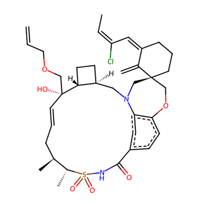 C=CCOC[C@]1(O)/C=C/C[C@H](C)[C@@H](C)S(=O)(=O)NC(=O)c2ccc3c(c2)N(C[C@@H]2CC[C@H]21)C[C@@]1(CCC/C(=C/C(Cl)=C\C)C1=C)CO3